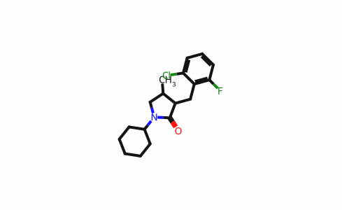 CC1CN(C2CCCCC2)C(=O)C1Cc1c(F)cccc1Cl